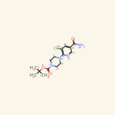 CC(C)(C)OC(=O)N1CCN(c2ncc(C(N)=O)cc2Cl)CC1